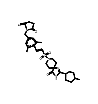 Cc1cc(CN2C(=O)CCC2=O)cc(C)c1C=CS(=O)(=O)N1CCC2(CC1)N=C(C1CCC(C)CC1)NC2=O